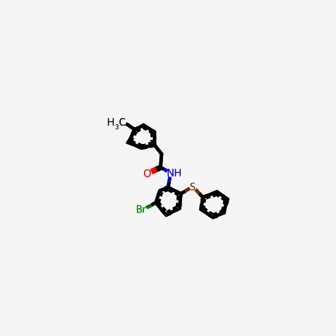 Cc1ccc(CC(=O)Nc2cc(Br)ccc2Sc2ccccc2)cc1